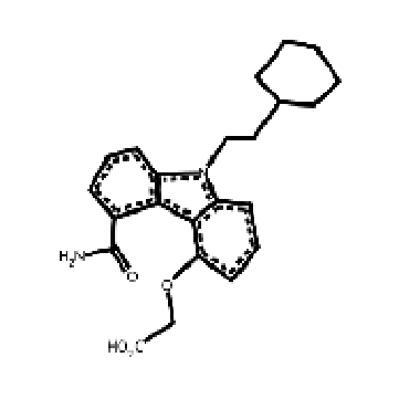 NC(=O)c1cccc2c1c1c(OCC(=O)O)cccc1n2CCC1CCCCC1